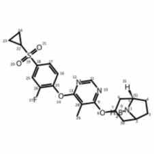 BN1C2CC[C@H]1CC(Oc1ncnc(Oc3ccc(S(=O)(=O)C4CC4)cc3F)c1C)C2